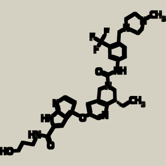 CC[C@H]1CN(C(=O)Nc2ccc(CN3CCN(C)CC3)c(C(F)(F)F)c2)Cc2cc(Oc3ccnc4[nH]c(C(=O)NCCCO)cc34)cnc21